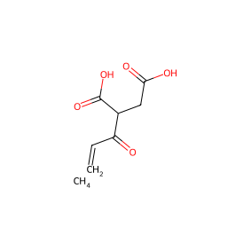 C.C=CC(=O)C(CC(=O)O)C(=O)O